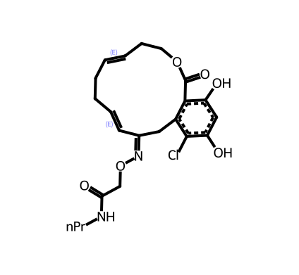 CCCNC(=O)CON=C1/C=C/CC/C=C/CCOC(=O)c2c(O)cc(O)c(Cl)c2C1